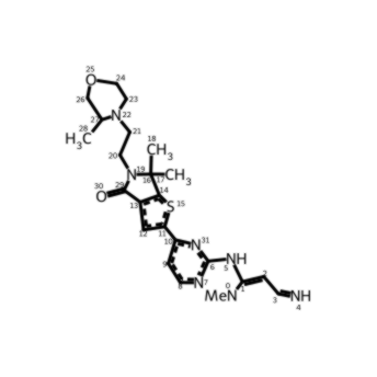 CN/C(=C\C=N)Nc1nccc(-c2cc3c(s2)C(C)(C)N(CCN2CCOCC2C)C3=O)n1